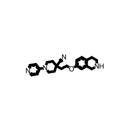 N#CC1(CCOc2ccc3c(c2)CNCC3)CCN(c2ccncc2)CC1